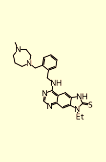 CCn1c(=S)[nH]c2cc3c(NCc4ccccc4CN4CCCN(C)CC4)ncnc3cc21